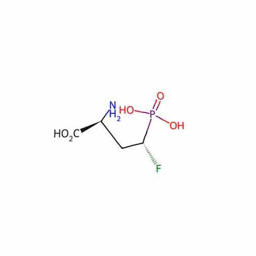 N[C@@H](C[C@@H](F)P(=O)(O)O)C(=O)O